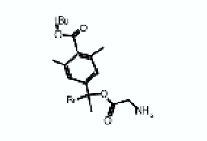 Cc1cc(C(C)(Br)OC(=O)CN)cc(C)c1C(=O)OC(C)(C)C